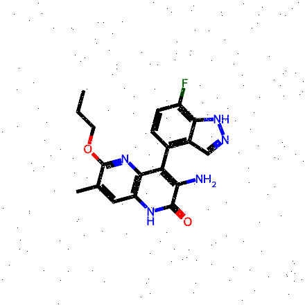 CCCOc1nc2c(-c3ccc(F)c4[nH]ncc34)c(N)c(=O)[nH]c2cc1C